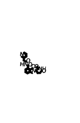 O=C(Cc1cccnc1)NC(=O)c1cccc2c1C(=O)N(C1CCC(=O)NC1=O)C2